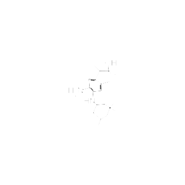 Cc1cc(NC2CC(C)CC(C)(C)C2)c(N)cc1C(C)C(=O)O